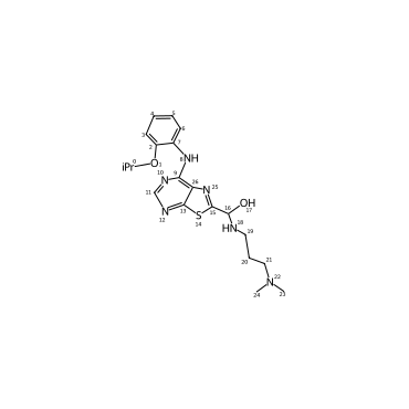 CC(C)Oc1ccccc1Nc1ncnc2sc(C(O)NCCCN(C)C)nc12